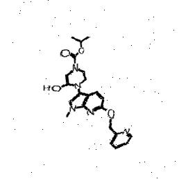 CC(C)OC(=O)N1CCN(c2cn(C)c3nc(OCc4ccccn4)ccc23)C(O)C1